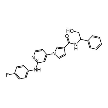 O=C(NC(CO)c1ccccc1)c1ccn(-c2ccnc(Nc3ccc(F)cc3)c2)c1